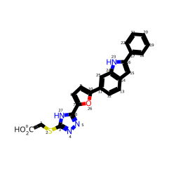 O=C(O)CSc1nnc(-c2ccc(-c3ccc4cc(-c5ccccc5)[nH]c4c3)o2)[nH]1